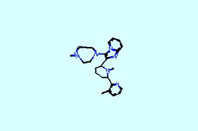 Cc1cccnc1C1CCCC(c2nc3ccccn3c2N2CCN(C)CC2)N1C